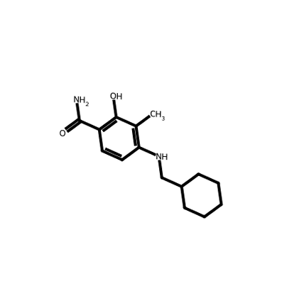 Cc1c(NCC2CCCCC2)ccc(C(N)=O)c1O